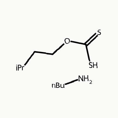 CC(C)CCOC(=S)S.CCCCN